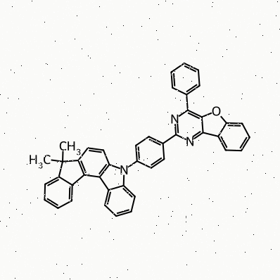 CC1(C)c2ccccc2-c2c1ccc1c2c2ccccc2n1-c1ccc(-c2nc(-c3ccccc3)c3oc4ccccc4c3n2)cc1